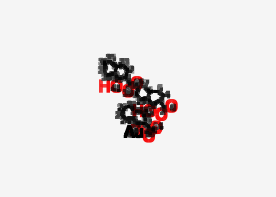 O=C([O-])c1ccc2ccccc2c1O.O=C([O-])c1ccc2ccccc2c1O.O=C([O-])c1ccc2ccccc2c1O.[Au+3]